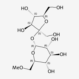 COC[C@H]1O[C@H](O[C@]2(CO)O[C@H](CO)[C@@H](O)[C@@H]2O)[C@H](O)[C@@H](O)[C@@H]1O